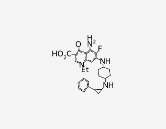 CCn1cc(C(=O)O)c(=O)c2c(N)c(F)c(NC3CCC(NC4CC4c4ccccc4)CC3)cc21